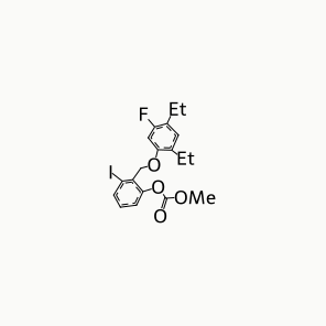 CCc1cc(CC)c(OCc2c(I)cccc2OC(=O)OC)cc1F